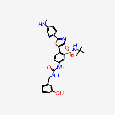 CNc1ccc(-c2ncc(-c3ccc(NC(=O)NCc4cccc(O)c4)cc3S(=O)(=O)NC(C)(C)C)s2)cc1